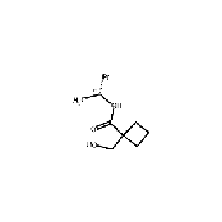 CC(C)[C@@H](C)NC(=O)C1(CO)CCC1